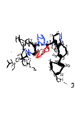 Cc1ccc(-c2ccc3nccc(C(=O)NC(C)C(=O)N4CC(C)(C)CC4C#N)c3c2)cc1